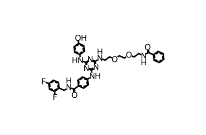 O=C(NCCOCCOCCNc1nc(Nc2ccc(O)cc2)nc(Nc2ccc(C(=O)NCc3ccc(F)cc3F)cc2)n1)c1ccccc1